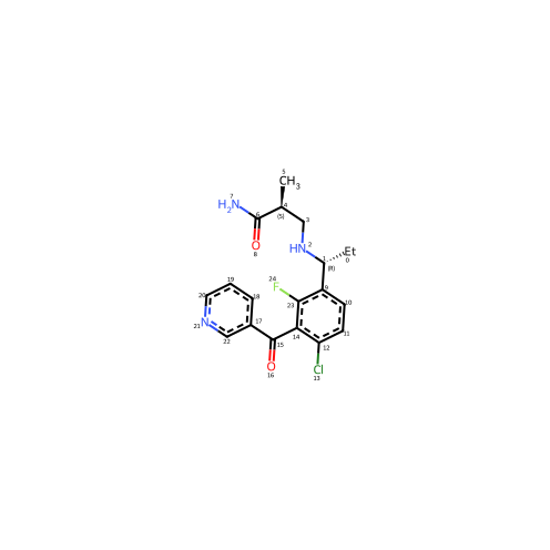 CC[C@@H](NC[C@H](C)C(N)=O)c1ccc(Cl)c(C(=O)c2cccnc2)c1F